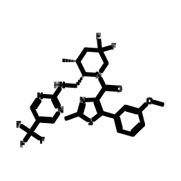 COc1cccc(-c2sc(C)nc2C(=O)N2CC(F)(F)C[C@@H](C)[C@H]2CNc2ncc(C(F)(F)F)cn2)c1